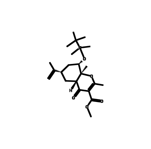 C=C(C)[C@@H]1C[C@H](O[Si](C)(C)C(C)(C)C)[C@@]2(C)OC(C)=C(C(=O)OC)C(=O)[C@@H]2C1